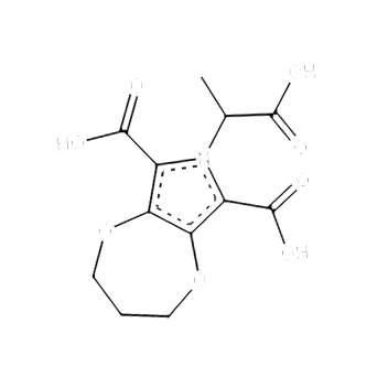 CC(C(=O)O)n1c(C(=O)O)c2c(c1C(=O)O)OCCCO2